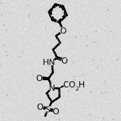 CS(=O)(=O)C1C[C@H](C(=O)O)N(C(=O)CNC(=O)CCCOc2ccccc2)C1